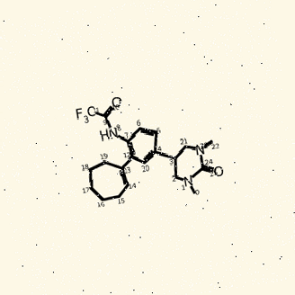 CN1CC(c2ccc(NC(=O)C(F)(F)F)c(C3=CCCCCC3)c2)CN(C)C1=O